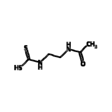 CC(=O)NCCNC(=S)S